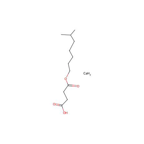 CC(C)CCCCCOC(=O)CCC(=O)O.[CaH2]